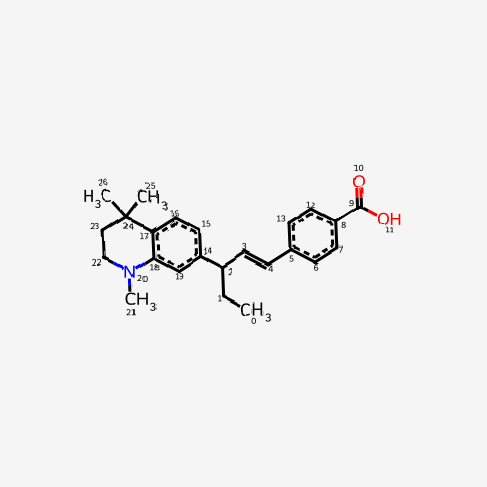 CCC(C=Cc1ccc(C(=O)O)cc1)c1ccc2c(c1)N(C)CCC2(C)C